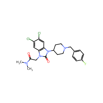 CN(C)C(=O)Cn1c(=O)n(C2CCN(Cc3ccc(F)cc3)CC2)c2cc(Cl)c(Cl)cc21